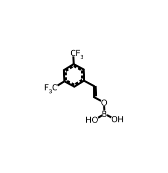 OB(O)OC=Cc1cc(C(F)(F)F)cc(C(F)(F)F)c1